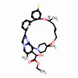 CCOC(=O)C(O)c1c(C)cn2cc3nc2c1N1CCC(C)(CC1)OC/C=C/C[C@H](C)Oc1cc(F)ccc1-c1cccc-3c1